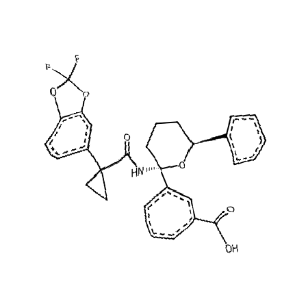 O=C(O)c1cccc([C@@]2(NC(=O)C3(c4ccc5c(c4)OC(F)(F)O5)CC3)CCC[C@@H](c3ccccc3)O2)c1